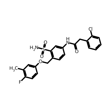 Cc1cc(OCc2ccc(NC(=O)Cc3ccccc3Cl)cc2S(N)(=O)=O)ccc1F